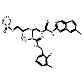 CCOP(=O)(OCC)OC[C@H](O)C[C@H](COC(=O)Nc1cc2cc(F)ccc2cn1)N(C)C(=O)NCc1cccc(F)c1Cl